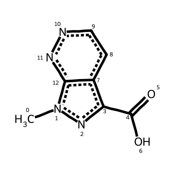 Cn1nc(C(=O)O)c2ccnnc21